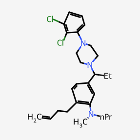 C=CCCc1ccc(C(CC)N2CCN(c3cccc(Cl)c3Cl)CC2)cc1N(C)CCC